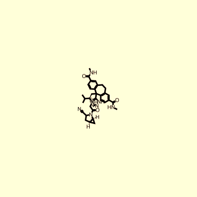 CNC(=O)c1ccc2c(c1)CCc1cc(C(=O)NC)ccc1C2(C[C@@H](NCC(=O)N1C(C#N)C[C@@H]2C[C@@H]21)C(C)C)c1nnn[nH]1